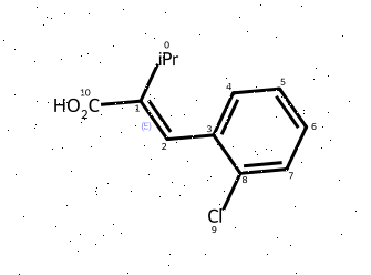 CC(C)/C(=C\c1ccccc1Cl)C(=O)O